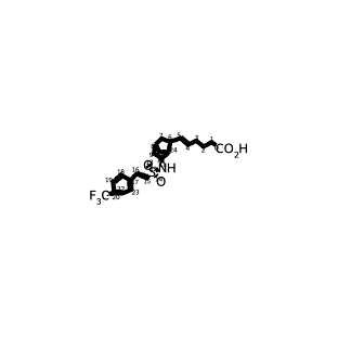 O=C(O)CCCC=CC1CC2CC(NS(=O)(=O)C=Cc3ccc(C(F)(F)F)cc3)C1C2